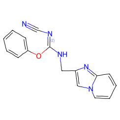 N#C/N=C(/NCc1cn2ccccc2n1)Oc1ccccc1